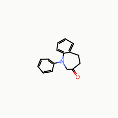 O=C1CCc2ccccc2N(c2ccccc2)C1